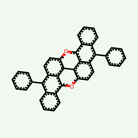 c1ccc(-c2c3ccccc3c3oc4ccc5c(-c6ccccc6)c6ccccc6c6oc7ccc2c3c7-c4c56)cc1